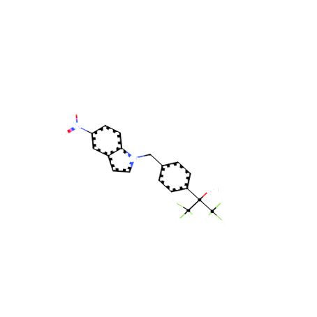 O=[N+]([O-])c1ccc2c(ccn2Cc2ccc(C(O)(C(F)(F)F)C(F)(F)F)cc2)c1